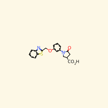 O=C(O)C1CC(=O)N(c2cccc(OCc3nc4ccccc4s3)c2)C1